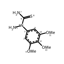 COc1cc(N(N)C(N)=S)cc(OC)c1OC